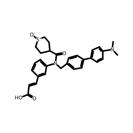 CN(C)c1ccc(-c2ccc(CN(C(=O)C3CC[S+]([O-])CC3)c3cccc(C=CC(=O)O)c3)cc2)cc1